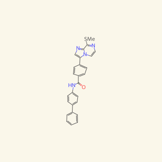 CSc1nccn2c(-c3ccc(C(=O)Nc4ccc(-c5ccccc5)cc4)cc3)cnc12